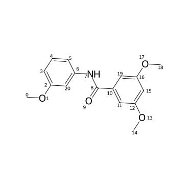 COc1cccc(NC(=O)c2cc(OC)cc(OC)c2)c1